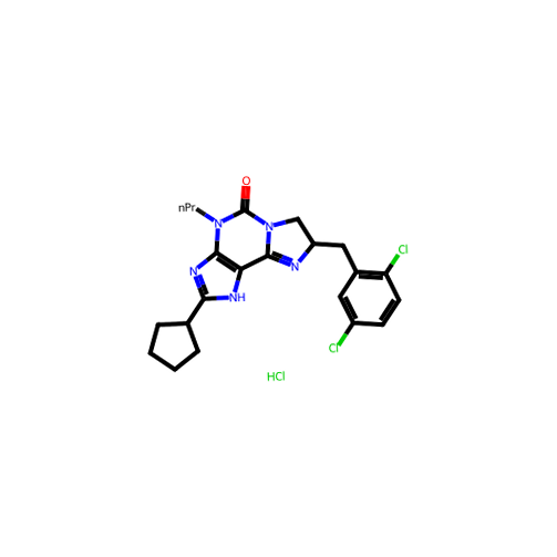 CCCN1C(=O)N2CC(Cc3cc(Cl)ccc3Cl)N=C2c2[nH]c(C3CCCC3)nc21.Cl